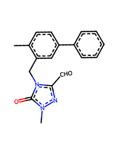 Cc1ccc(-c2ccccc2)cc1Cn1c(C=O)nn(C)c1=O